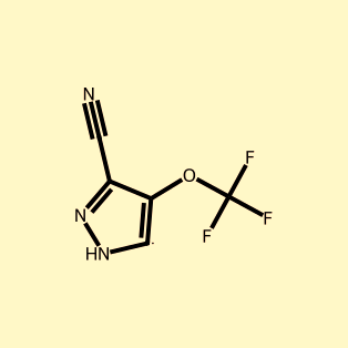 N#Cc1n[nH][c]c1OC(F)(F)F